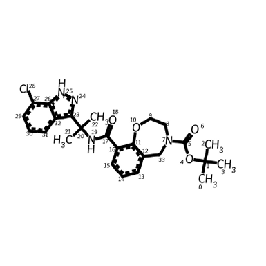 CC(C)(C)OC(=O)N1CCOc2c(cccc2C(=O)NC(C)(C)c2n[nH]c3c(Cl)cccc23)C1